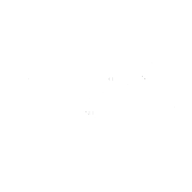 CC(C)CCC(CC(O)C(N)Cc1cccc(C(C)(C)O)c1)C(=O)NO